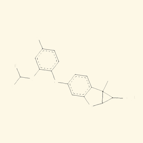 CC12c3ccc(Oc4ccc(C(F)(F)F)cc4OC(F)F)cc3OC1C2C(=O)O